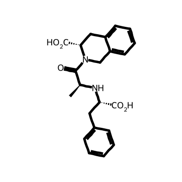 C[C@H](N[C@@H](Cc1ccccc1)C(=O)O)C(=O)N1Cc2ccccc2C[C@H]1C(=O)O